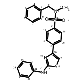 CN(Cc1ccccc1)S(=O)(=O)c1ccc(-c2csc(Nc3ccccc3)n2)cc1